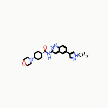 Cn1cc(-c2ccc3nnc(NC(=O)[C@H]4CC[C@H](N5CCOCC5)CC4)cc3c2)cn1